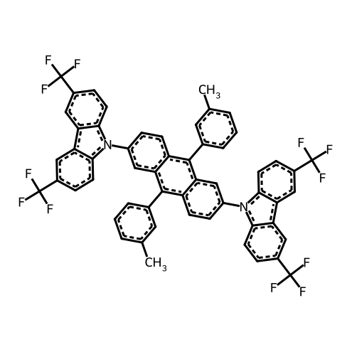 Cc1cccc(-c2c3ccc(-n4c5ccc(C(F)(F)F)cc5c5cc(C(F)(F)F)ccc54)cc3c(-c3cccc(C)c3)c3ccc(-n4c5ccc(C(F)(F)F)cc5c5cc(C(F)(F)F)ccc54)cc23)c1